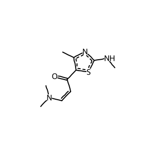 CNc1nc(C)c(C(=O)/C=C\N(C)C)s1